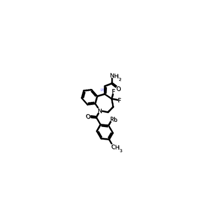 Cc1ccc(C(=O)N2CCC(F)(F)/C(=C\C(N)=O)c3ccccc32)[c]([Rb])c1